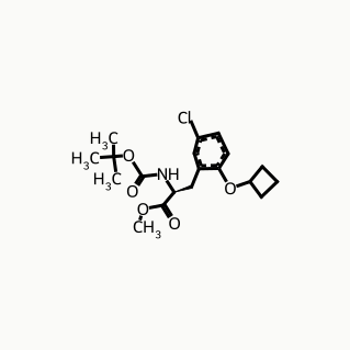 COC(=O)[C@H](Cc1cc(Cl)ccc1OC1CCC1)NC(=O)OC(C)(C)C